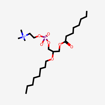 CCCCCCCCOC(COC(=O)CCCCCCC)COP(=O)([O-])OCC[N+](C)(C)C